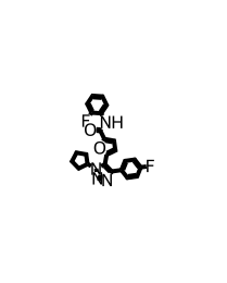 O=C(Nc1ccccc1F)c1ccc(-c2c(-c3ccc(F)cc3)nnn2C2CCCC2)o1